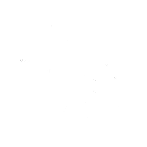 C=CC(=O)NC1COCC1Nc1ncc2cc(-c3c(Cl)c(CC)cc(OC)c3Cl)ccc2n1